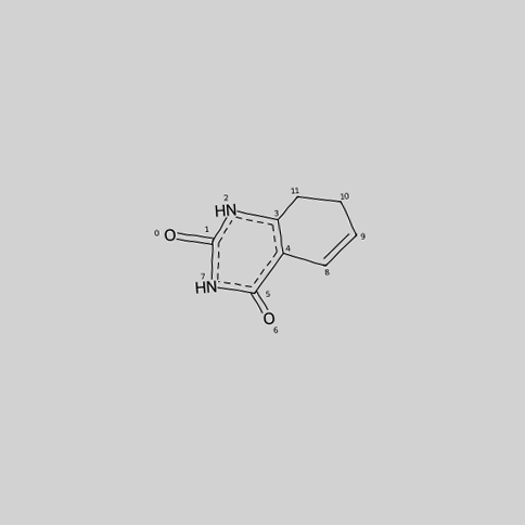 O=c1[nH]c2c(c(=O)[nH]1)C=CCC2